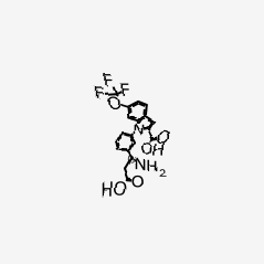 N[C@@H](CC(=O)O)c1cccc(-n2c(C(=O)O)cc3ccc(OC(F)(F)F)cc32)c1